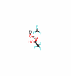 CCOCC.FB(F)F.O=C(O)C(F)(F)F